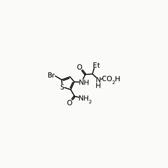 CCC(NC(=O)O)C(=O)Nc1cc(Br)sc1C(N)=O